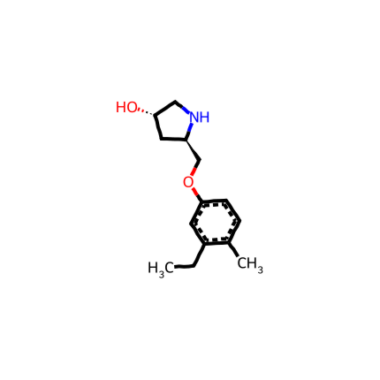 CCc1cc(OC[C@H]2C[C@H](O)CN2)ccc1C